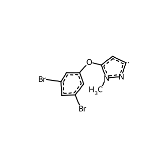 Cn1n[c]cc1Oc1cc(Br)cc(Br)c1